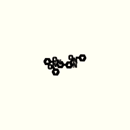 O=C(c1ccccc1)N(C(=O)c1ccccc1)c1ccc(-c2ccc3ncn(Cc4ccccc4)c(=O)c3c2)cn1